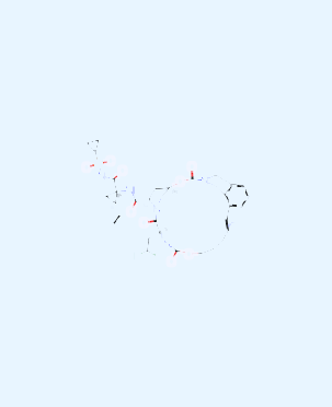 C=C[C@@H]1C[C@]1(NC(=O)[C@@H]1C[C@@H]2CN1C(=O)[C@H](CC(F)F)NC(=O)OCCC/C=C/c1cccc3c1CN(C3)C(=O)O2)C(=O)NS(=O)(=O)C1CC1